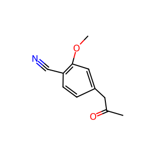 COc1cc(CC(C)=O)ccc1C#N